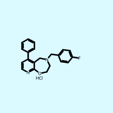 Cl.Fc1ccc(CN2CCOc3nccc(-c4ccccc4)c3C2)cc1